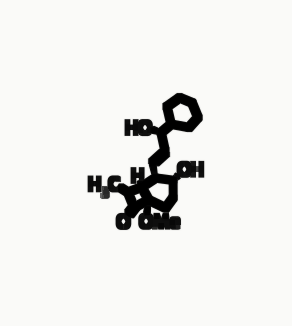 CO[C@]12CC[C@@H](O)[C@H](/C=C/[C@@H](O)C3CCCCC3)[C@H]1C(C)C2=O